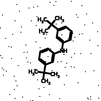 CC(C)(C)c1cccc(Nc2cccc(C(C)(C)C)c2)c1